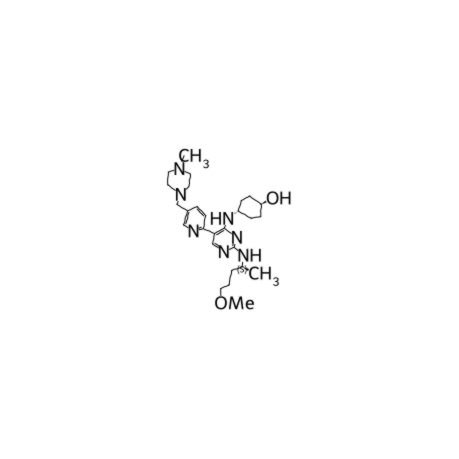 COCCC[C@H](C)Nc1ncc(-c2ccc(CN3CCN(C)CC3)cn2)c(N[C@H]2CC[C@H](O)CC2)n1